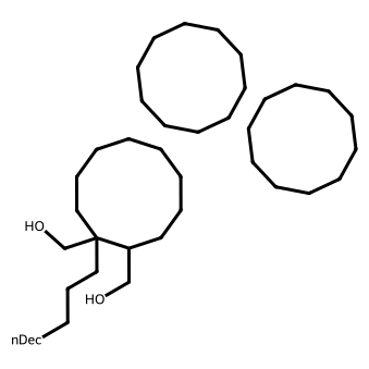 C1CCCCCCCCC1.C1CCCCCCCCC1.CCCCCCCCCCCCCC1(CO)CCCCCCCCC1CO